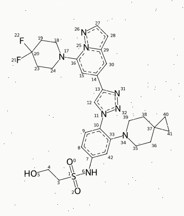 O=S(=O)(CCO)Nc1ccc(-n2cc(-c3cc(N4CCC(F)(F)CC4)n4nccc4c3)nn2)c(N2CCC3(CC2)CC3)c1